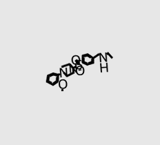 CCNCc1ccc(S(=O)(=O)N2CCN(c3ccccc3OC)CC2)cc1